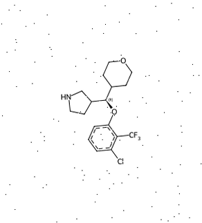 FC(F)(F)c1c(Cl)cccc1O[C@H](C1CCOCC1)C1CCNC1